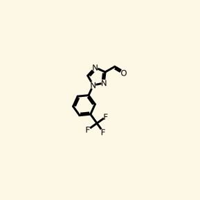 O=Cc1ncn(-c2cccc(C(F)(F)F)c2)n1